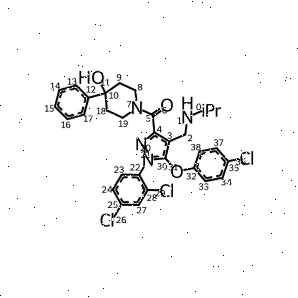 CC(C)NCc1c(C(=O)N2CCC(O)(c3ccccc3)CC2)nn(-c2ccc(Cl)cc2Cl)c1Oc1ccc(Cl)cc1